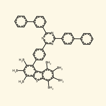 Bc1c(B)c(B)c2c(sc3c(B)c(B)c(B)c(-c4ccc(-c5nc(-c6ccc(-c7ccccc7)cc6)nc(-c6cccc(-c7ccccc7)c6)n5)cc4)c32)c1B